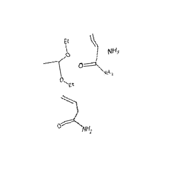 C=CC(N)=O.C=CC(N)=O.CCOC(C)OCC.N